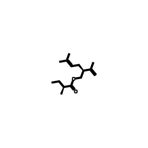 C=C(C)[C@H](CC=C(C)C)COC(=O)[C@@H](C)CC